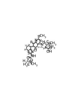 CSc1nc(N2CCN(C(=O)O)C(C(C)(C)C)C2)c2cc(Cl)c(-c3cccc4sc(NC(=O)OC(C)(C)C)nc34)c(F)c2n1